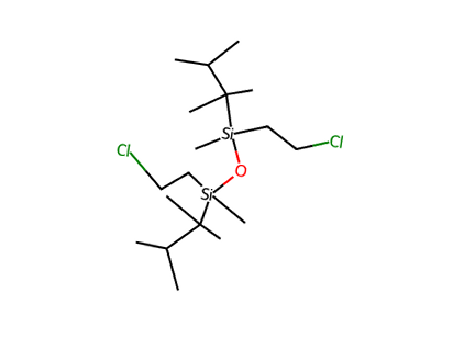 CC(C)C(C)(C)[Si](C)(CCCl)O[Si](C)(CCCl)C(C)(C)C(C)C